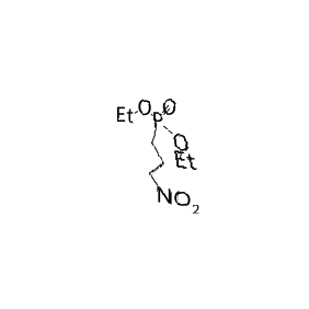 CCOP(=O)(CCC[N+](=O)[O-])OCC